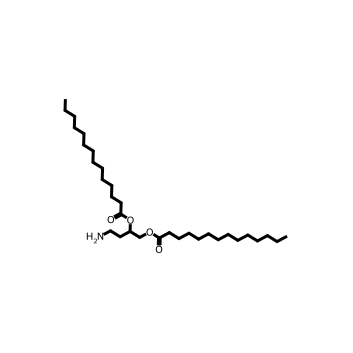 CCCCCCCCCCCCCC(=O)OCC(CCN)OC(=O)CCCCCCCCCCCCC